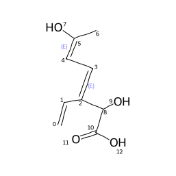 C=C/C(=C\C=C(/C)O)C(O)C(=O)O